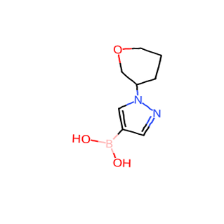 OB(O)c1cnn(C2CCCOC2)c1